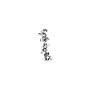 CC(O)Cc1nc(-c2ccc(CC(O)CCNC(=O)c3ccc(OC(C)C)c(Cl)c3)cc2F)cn1C